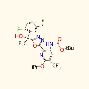 C=Cc1ccc(F)c(C(O)(c2nnc(-c3nc(OC(C)C)c(C(F)(F)F)cc3NC(=O)OC(C)(C)C)o2)C(F)(F)F)c1